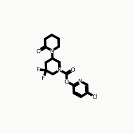 O=C(Oc1ccc(Cl)cn1)N1CC(N2CCCCC2=O)CC(F)(F)C1